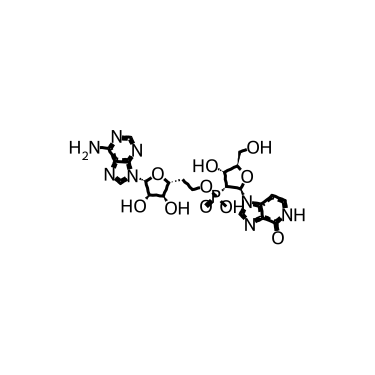 Nc1ncnc2c1ncn2[C@@H]1O[C@H](CCOP(=O)(O)[C@@H]2[C@H](O)[C@@H](CO)O[C@H]2n2cnc3c(=O)[nH]ccc32)[C@@H](O)[C@H]1O